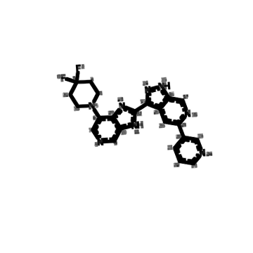 FC1(F)CCN(c2cncc3[nH]c(-c4n[nH]c5cnc(-c6cccnc6)cc45)nc23)CC1